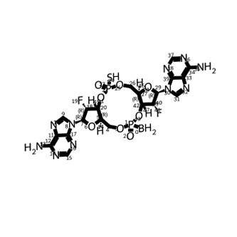 BP1(=O)OC[C@H]2O[C@@H](n3cnc4c(N)ncnc43)[C@H](F)[C@@H]2OP(=O)(S)OC[C@H]2O[C@@H](n3cnc4c(N)ncnc43)[C@H](F)[C@@H]2O1